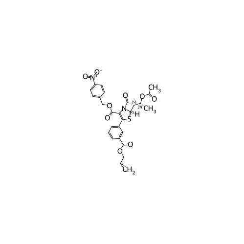 C=CCOC(=O)c1cccc(C2=C(C(=O)OCc3ccc([N+](=O)[O-])cc3)N3C(=O)[C@H]([C@@H](C)OC(C)=O)[C@H]3S2)c1